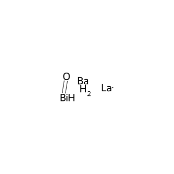 [BaH2].[La].[O]=[BiH]